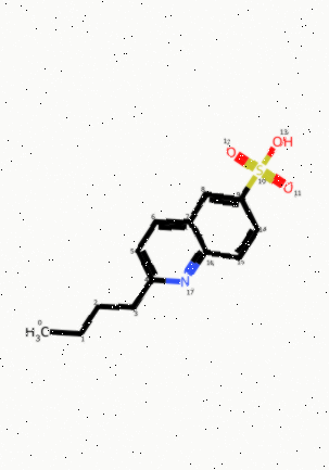 CCCCc1ccc2cc(S(=O)(=O)O)ccc2n1